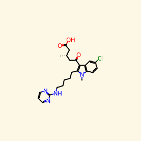 C[C@H](CC(=O)O)CC(=O)c1c(CCCCCNc2ncccn2)n(C)c2ccc(Cl)cc12